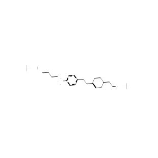 CCCCCOc1ccc(CCC2=CCC(CCC)CC2)cc1